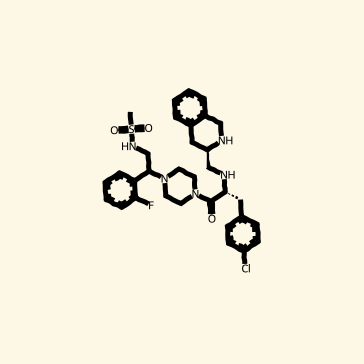 CS(=O)(=O)NCC(c1ccccc1F)N1CCN(C(=O)[C@@H](Cc2ccc(Cl)cc2)NC[C@H]2Cc3ccccc3CN2)CC1